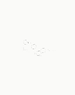 CNC(=O)C(c1cc(-c2ncnc3cc(N4CCOCC4)ccc23)c(F)cc1Cl)c1ncccc1Cl